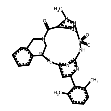 Cc1cccc(C)c1-c1cc2nc(n1)NS(=O)(=O)c1cc(n(C)n1)C(=O)N1Cc3ccccc3[C@H](C1)O2